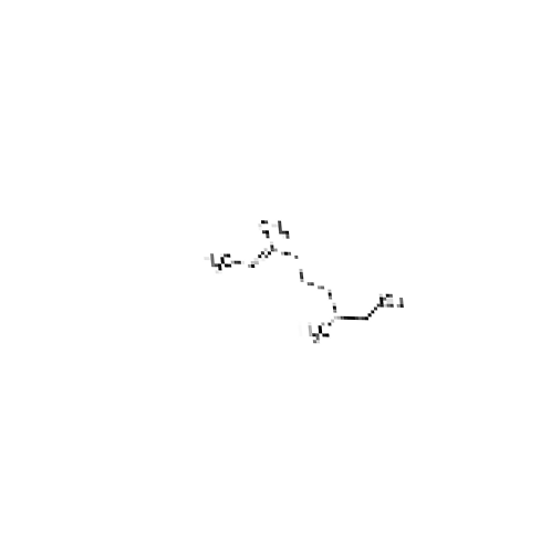 CC=C(C)CCCC(C)CC(C)(C)C